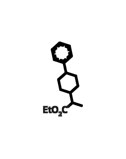 CCOC(=O)C(C)C1CCC(c2ccccc2)CC1